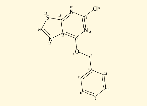 Clc1nc(OCc2ccccc2)c2ncsc2n1